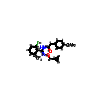 COc1ccc(CC(=O)N/C(=N\OCC2CC2)c2c(F)cccc2C(F)(F)F)cc1